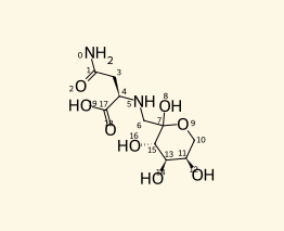 NC(=O)C[C@@H](NCC1(O)OC[C@@H](O)[C@@H](O)[C@@H]1O)C(=O)O